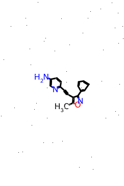 Cc1onc(-c2ccccc2)c1C#Cc1ccc(N)cn1